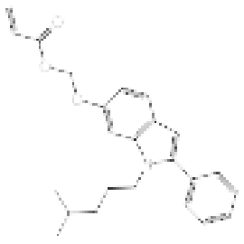 C=CC(=O)OCOc1ccc2cc(-c3ccccc3)n(CCCC(C)C)c2c1